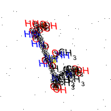 CCNC(=O)CCSSCC(NC(=O)CCCCCN1/C(=C/C=C/C=C/C2N(CC)c3ccc(S(=O)(=O)O)cc3C2(C)C)C(C)(C)c2cc(S(=O)(=O)O)ccc21)C(=O)NCCCCCC(=O)NCCCc1cn([C@H]2C[C@@H](O)[C@@H](COP(=O)(O)O)O2)c(=O)[nH]c1=O